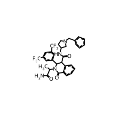 CC(C(N)=O)N1C(=O)c2ccccc2C(C(=O)NC2CCN(Cc3ccccc3)C2)C1c1cc(C(F)(F)F)cc(C(F)(F)F)c1